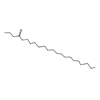 CCCCCCCCCCCCCCCCC[CH]C(=O)CCC